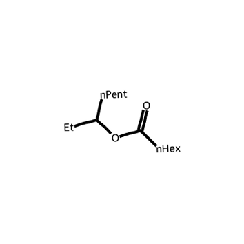 CCCCCCC(=O)OC(CC)CCCCC